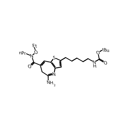 CCCN(OCC)C(=O)C1=Cc2sc(CCCCCNC(=O)OC(C)(C)C)cc2N=C(N)C1